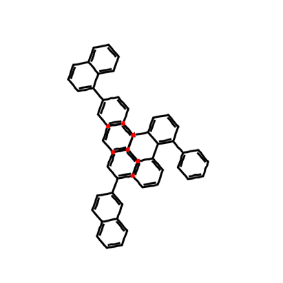 c1ccc(-c2ccccc2-c2c(-c3ccccc3)cccc2N(c2ccc(-c3ccc4ccccc4c3)cc2)c2ccc(-c3cccc4ccccc34)cc2)cc1